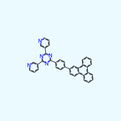 c1cncc(-c2nc(-c3ccc(-c4ccc5c6ccccc6c6ccccc6c5c4)cc3)nc(-c3cccnc3)n2)c1